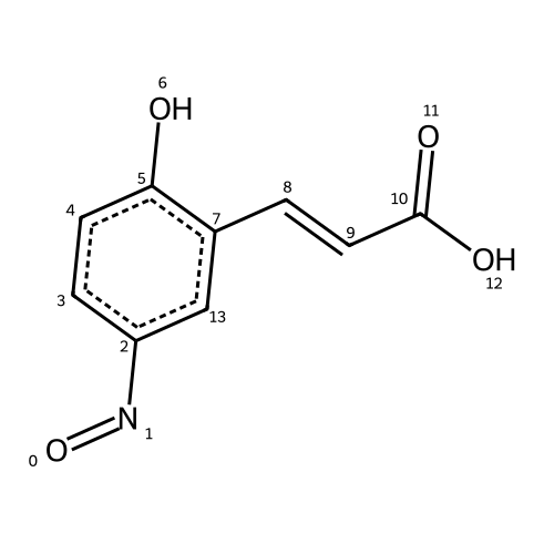 O=Nc1ccc(O)c(C=CC(=O)O)c1